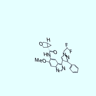 COc1cc2ncnc(-c3cn(CC(F)F)nc3-c3ccccc3)c2cc1NC(=O)[C@]12COC[C@H]1C2